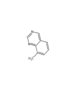 Cc1cccc2cn[c]nc12